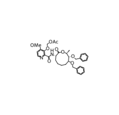 COc1ccnc(C(=O)N[C@H]2CCCC[C@H](OCc3ccccc3)[C@@H](OCc3ccccc3)[C@H](C)OC2=O)c1OCOC(C)=O